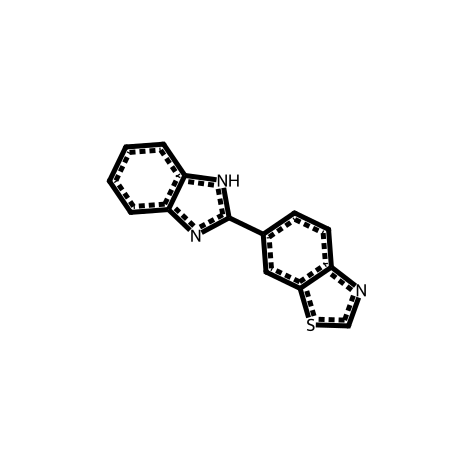 c1ccc2[nH]c(-c3ccc4ncsc4c3)nc2c1